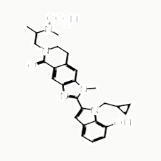 CC(CN1CCc2cc3c(cc2C1=O)nc(-c1cc2cccc(O)c2n1CC1CC1)n3C)N(C)C(=O)O